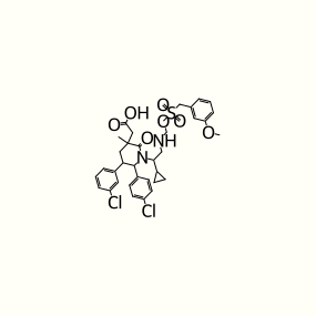 COc1cccc(CS(=O)(=O)OCNCC(C2CC2)N2C(=O)C(C)(CC(=O)O)CC(c3cccc(Cl)c3)C2c2ccc(Cl)cc2)c1